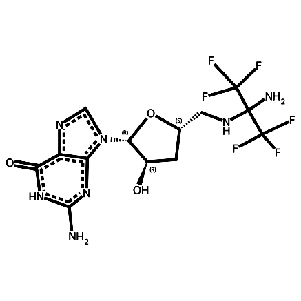 Nc1nc2c(ncn2[C@@H]2O[C@H](CNC(N)(C(F)(F)F)C(F)(F)F)C[C@H]2O)c(=O)[nH]1